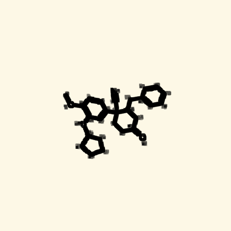 COc1ccc(C2(C#N)CCC(=O)CC2Cc2ccccc2)cc1OC1CCCC1